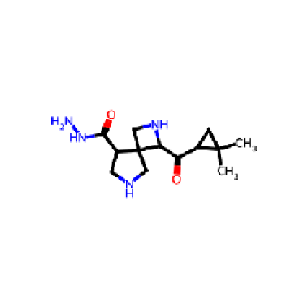 CC1(C)CC1C(=O)C1NCC12CNCC2C(=O)NN